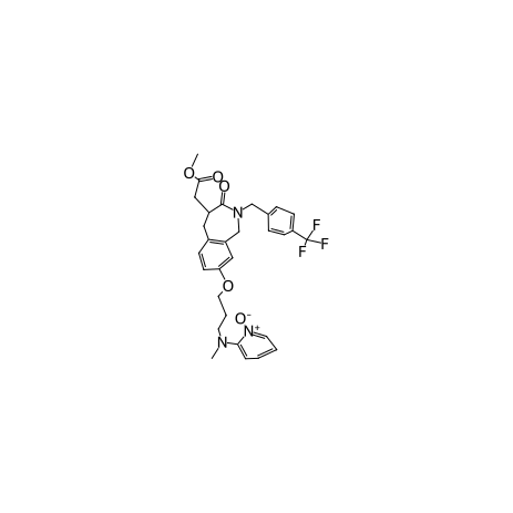 COC(=O)CC1Cc2ccc(OCCCN(C)c3cccc[n+]3[O-])cc2CN(Cc2ccc(C(F)(F)F)cc2)C1=O